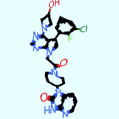 O=C(Cn1cc(-c2cccc(Cl)c2F)c2c(N3CC(O)C3)ncnc21)N1CCC(n2c(=O)[nH]c3ncccc32)CC1